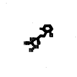 CCNC(=N)NC(=O)C=Cc1c(C)cccc1Cl